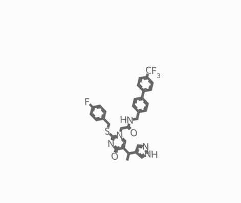 CC(c1cn[nH]c1)c1cn(CC(=O)NCc2ccc(-c3ccc(C(F)(F)F)cc3)cc2)c(SCc2ccc(F)cc2)nc1=O